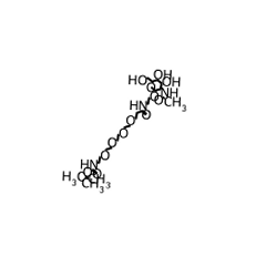 CC(=O)NC1C(OCCNC(=O)CCOCCOCCOCCOCCNC(=O)OC(C)(C)C)OC(CO)C(O)C1O